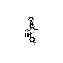 CCc1nn(-c2nccs2)cc1C(=O)NNc1ccc(F)cc1